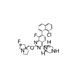 Fc1c(-c2cccc3cccc(Cl)c23)ccc2c(N3[C@@H]4CC[C@H]3CNC4)nc(OC[C@@]34CCCN3C[C@H](F)C4)nc12